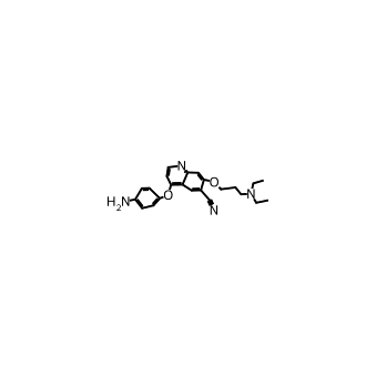 CCN(CC)CCCOc1cc2nccc(Oc3ccc(N)cc3)c2cc1C#N